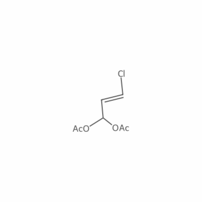 CC(=O)OC(C=CCl)OC(C)=O